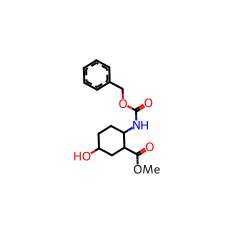 COC(=O)C1CC(O)CCC1NC(=O)OCc1ccccc1